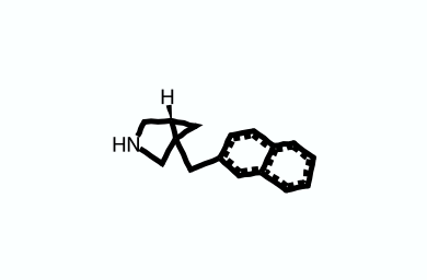 c1ccc2cc(CC34CNC[C@@H]3C4)ccc2c1